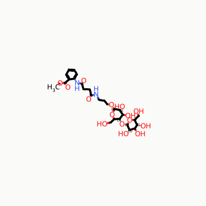 COC(=O)c1ccccc1NC(=O)CCC(=O)NCCCO[C@@H]1OC(CO)[C@@H](O[C@@H]2OC(CO)[C@H](O)C(O)[C@@H]2O)C(O)[C@@H]1O